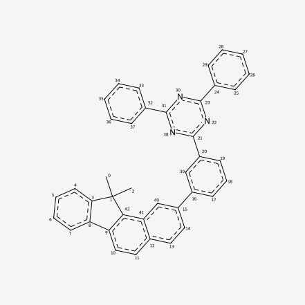 CC1(C)c2ccccc2-c2ccc3ccc(-c4cccc(-c5nc(-c6ccccc6)nc(-c6ccccc6)n5)c4)cc3c21